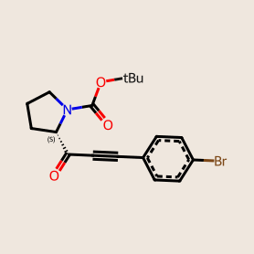 CC(C)(C)OC(=O)N1CCC[C@H]1C(=O)C#Cc1ccc(Br)cc1